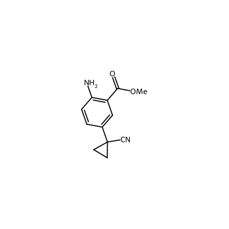 COC(=O)c1cc(C2(C#N)CC2)ccc1N